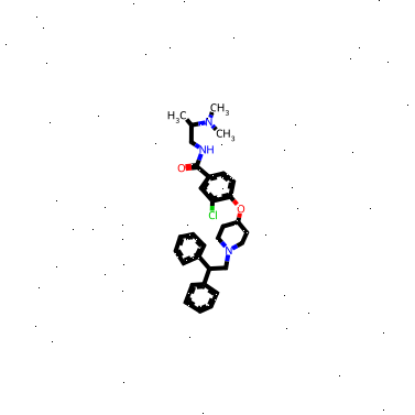 CC(CNC(=O)c1ccc(OC2CCN(CC(c3ccccc3)c3ccccc3)CC2)c(Cl)c1)N(C)C